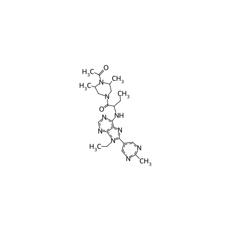 CCC(Nc1ncnc2c1nc(-c1cnc(C)nc1)n2CC)C(=O)N1CC(C)N(C(C)=O)C(C)C1